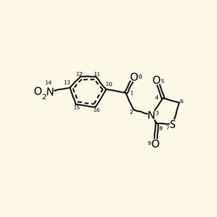 O=C(CN1C(=O)CSC1=O)c1ccc([N+](=O)[O-])cc1